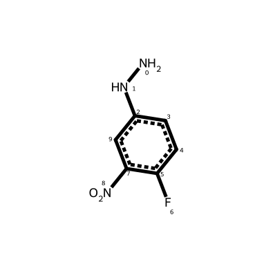 NNc1ccc(F)c([N+](=O)[O-])c1